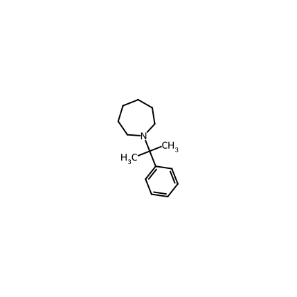 CC(C)(c1ccccc1)N1CCCCCC1